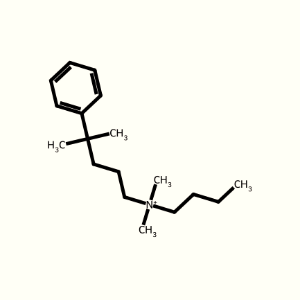 CCCC[N+](C)(C)CCCC(C)(C)c1ccccc1